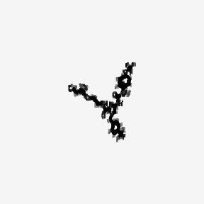 O=C(Nc1ccc(OC(F)(F)F)cc1)Nc1cn(Cc2ccc(C(F)(F)F)cc2)c(C(=O)NCCOC(=O)CCl)n1